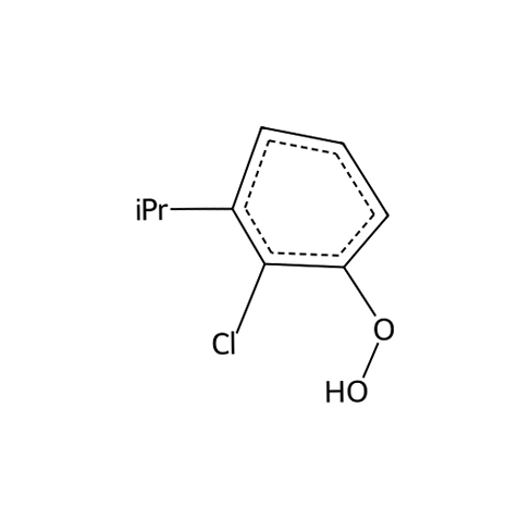 CC(C)c1cccc(OO)c1Cl